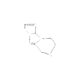 C1=NC2N(N=C3CNCCN32)S1